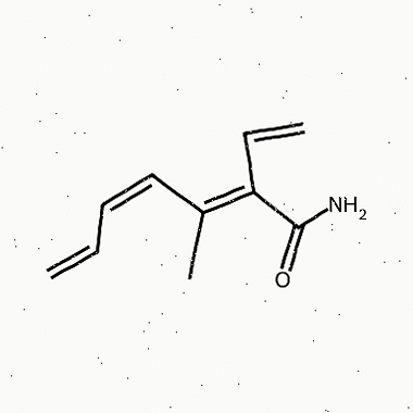 C=C/C=C\C(C)=C(/C=C)C(N)=O